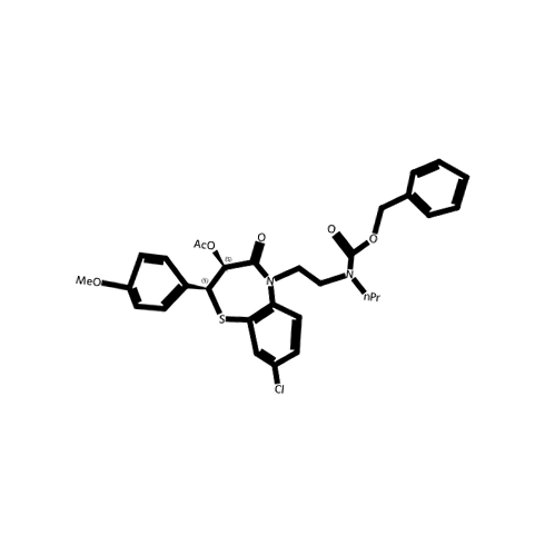 CCCN(CCN1C(=O)[C@H](OC(C)=O)[C@H](c2ccc(OC)cc2)Sc2cc(Cl)ccc21)C(=O)OCc1ccccc1